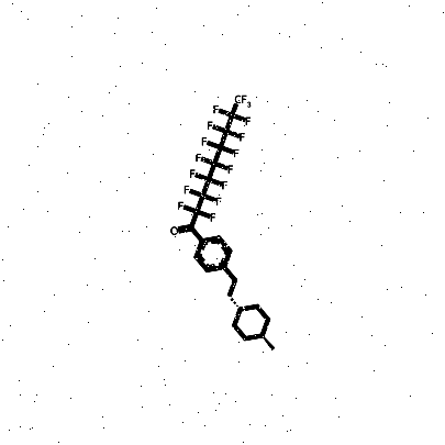 C[C@H]1CC[C@H](CCc2ccc(C(=O)C(F)(F)C(F)(F)C(F)(F)C(F)(F)C(F)(F)C(F)(F)C(F)(F)C(F)(F)F)cc2)CC1